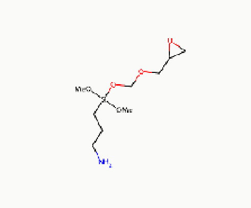 CO[Si](CCCN)(OC)OCOCC1CO1